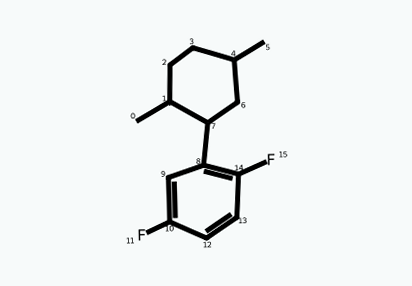 C[C]1CCC(C)CC1c1cc(F)ccc1F